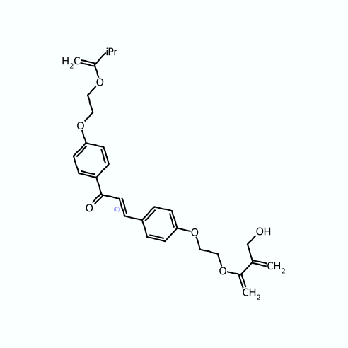 C=C(CO)C(=C)OCCOc1ccc(/C=C/C(=O)c2ccc(OCCOC(=C)C(C)C)cc2)cc1